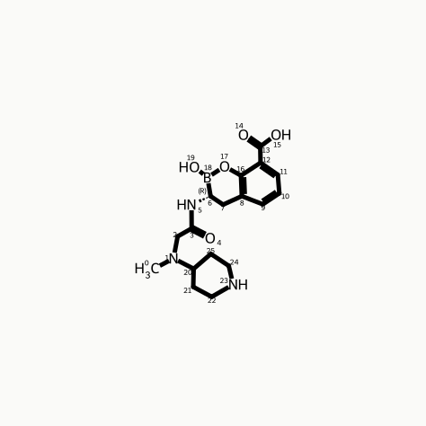 CN(CC(=O)N[C@H]1Cc2cccc(C(=O)O)c2OB1O)C1CCNCC1